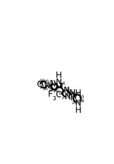 FC(F)(F)C1=C(c2c[nH]c3nc(N4CCOCC4)ccc23)N=C(NC2CCCNCC2)NC1